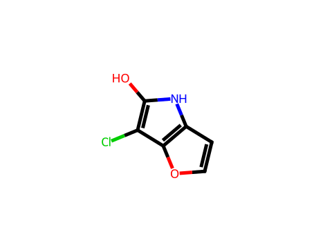 Oc1[nH]c2ccoc2c1Cl